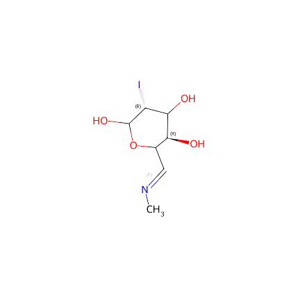 C/N=C/C1OC(O)[C@H](I)C(O)[C@H]1O